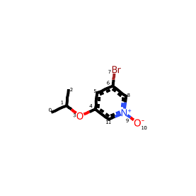 CC(C)Oc1cc(Br)c[n+]([O-])c1